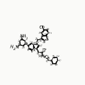 Nc1cc(N)cc(-c2ccc3c(CC(=O)NOCc4ccccc4)cn(Cc4csc5ccc(Cl)cc45)c3c2)c1